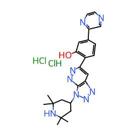 CC1(C)CC(n2nnc3cc(-c4ccc(-c5cnccn5)cc4O)nnc32)CC(C)(C)N1.Cl.Cl